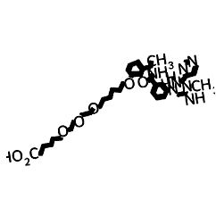 CC(NC(=O)c1cccc(NCC(=N)N(C)C(=N)c2ccncn2)c1)c1cccc(OCCCCCCOCCOCCOCCCCCC(=O)O)c1